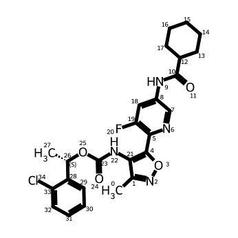 Cc1noc(-c2ncc(NC(=O)C3CCCCC3)cc2F)c1NC(=O)O[C@@H](C)c1ccccc1Cl